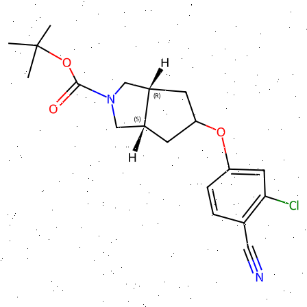 CC(C)(C)OC(=O)N1C[C@H]2CC(Oc3ccc(C#N)c(Cl)c3)C[C@H]2C1